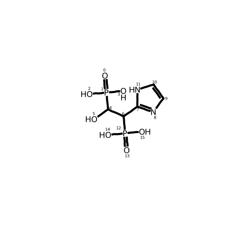 O=P(O)(O)C(O)C(c1ncc[nH]1)P(=O)(O)O